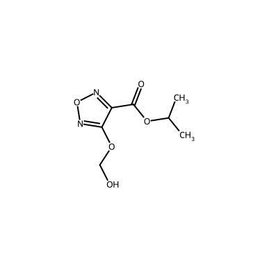 CC(C)OC(=O)c1nonc1OCO